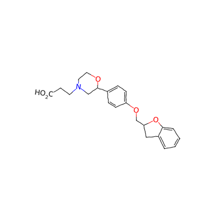 O=C(O)CCN1CCOC(c2ccc(OCC3Cc4ccccc4O3)cc2)C1